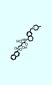 CC1CCN(Cc2ccc3c(c2)CCC[C@H]3NC(=O)[C@H](O)[C@H](O)CS(=O)(=O)c2ccc3ccccc3c2)CC1